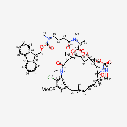 COc1cc2cc(c1Cl)N(C)C(=O)C[C@H](OC(=O)[C@H](C)N(C)C(=O)CCCN(C)C(=O)OCC1c3ccccc3-c3ccccc31)[C@@]1(C)CC(C)(O1)[C@@H]1C[C@@](O)(NC(=O)O1)[C@H](OC)/C=C/C=C(\C)C2